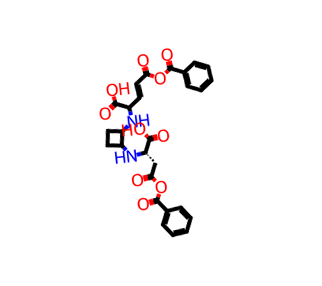 O=C(/C=C/C(NC1CCC1N[C@@H](CC(=O)OC(=O)c1ccccc1)C(=O)O)C(=O)O)OC(=O)c1ccccc1